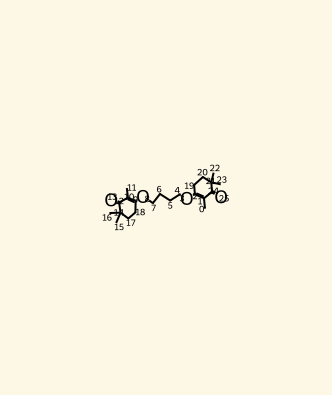 CC1=C(OCCCCOC2=C(C)C(=O)C(C)(C)CC2)CCC(C)(C)C1=O